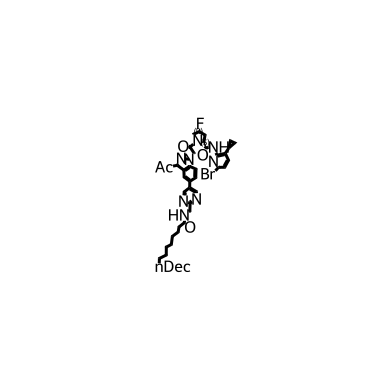 CCCCCCCCCCCCCCCCCC(=O)NCc1ncc(-c2ccc3c(c2)c(C(C)=O)nn3CC(=O)N2C[C@H](F)C[C@H]2C(=O)Nc2nc(Br)ccc2C2CC2)cn1